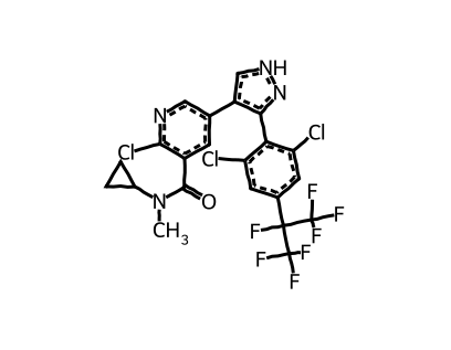 CN(C(=O)c1cc(-c2c[nH]nc2-c2c(Cl)cc(C(F)(C(F)(F)F)C(F)(F)F)cc2Cl)cnc1Cl)C1CC1